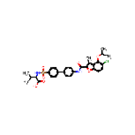 Cc1c(C(=O)Nc2ccc(-c3ccc(S(=O)(=O)NC(C(=O)O)C(C)C)cc3)cc2)oc2ccc(Cl)c(OC(C)C)c12